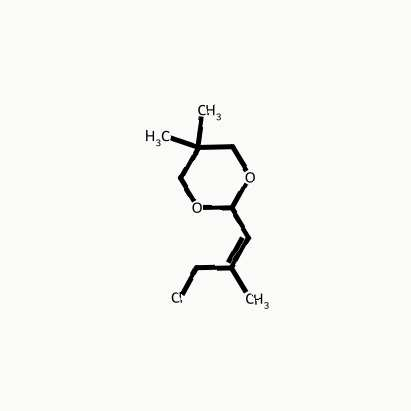 CC(=CC1OCC(C)(C)CO1)CCl